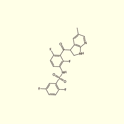 Cc1cnc2c(c1)C(C(=O)c1c(F)ccc(NS(=O)(=O)c3cc(F)ccc3F)c1F)CN2